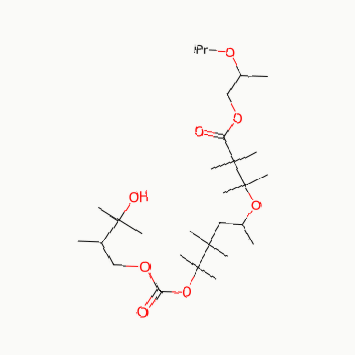 CC(C)OC(C)COC(=O)C(C)(C)C(C)(C)OC(C)CC(C)(C)C(C)(C)OC(=O)OCC(C)C(C)(C)O